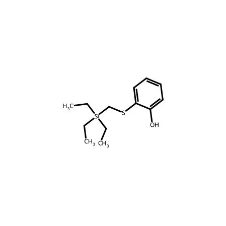 CC[Si](CC)(CC)CSc1ccccc1O